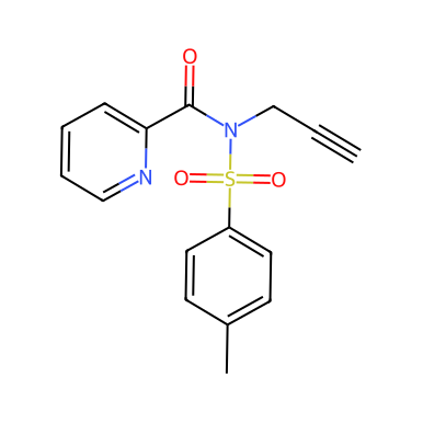 C#CCN(C(=O)c1ccccn1)S(=O)(=O)c1ccc(C)cc1